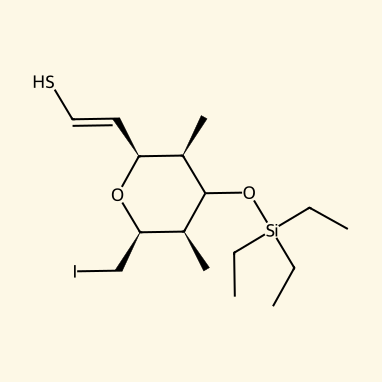 CC[Si](CC)(CC)OC1[C@@H](C)[C@@H](CI)O[C@@H](/C=C/S)[C@H]1C